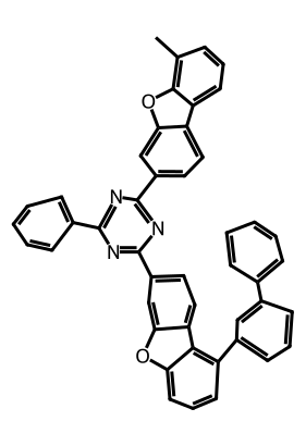 Cc1cccc2c1oc1cc(-c3nc(-c4ccccc4)nc(-c4ccc5c(c4)oc4cccc(-c6cccc(-c7ccccc7)c6)c45)n3)ccc12